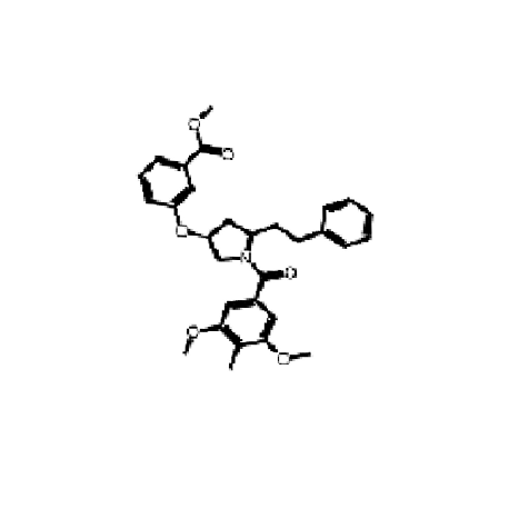 COC(=O)c1cccc(O[C@H]2CC(CCc3ccccc3)N(C(=O)c3cc(OC)c(C)c(OC)c3)C2)c1